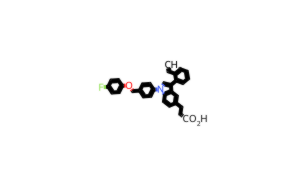 C=Cc1ccccc1-c1cn(-c2ccc(COc3ccc(F)cc3)cc2)c2ccc(CCC(=O)O)cc12